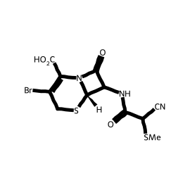 CSC(C#N)C(=O)NC1C(=O)N2C(C(=O)O)=C(Br)CS[C@@H]12